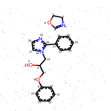 C1=NCCO1.OC(COc1ccccc1)Cn1ccnc1-c1ccccc1